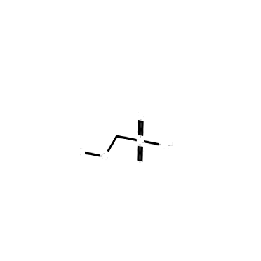 O=S(=O)(O)COF